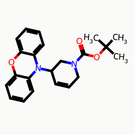 CC(C)(C)OC(=O)N1CC=CC(N2c3ccccc3Oc3ccccc32)C1